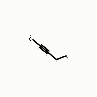 CCC#CCl